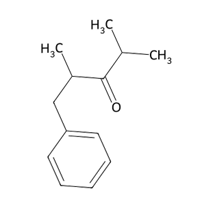 CC(C)C(=O)C(C)Cc1ccccc1